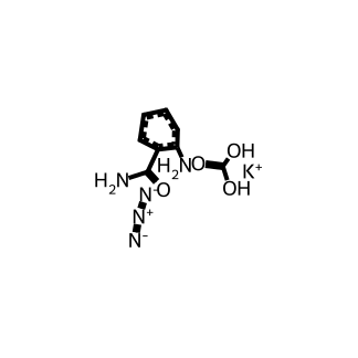 NC(=O)c1ccccc1N.O=C(O)O.[K+].[N-]=[N+]=[N-]